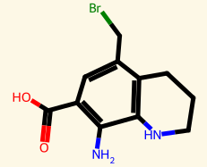 Nc1c(C(=O)O)cc(CBr)c2c1NCCC2